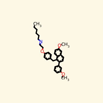 CCCCCCN=CCOc1ccc(Cc2c(-c3cccc(OC)c3)ccc3cc(OC)ccc23)cc1